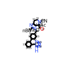 CCCCc1nc2c(n1Cc1ccc(-c3ccccc3-c3nnn[nH]3)cc1)C(C(C)=O)(C(=O)OC)N(C#N)CC2